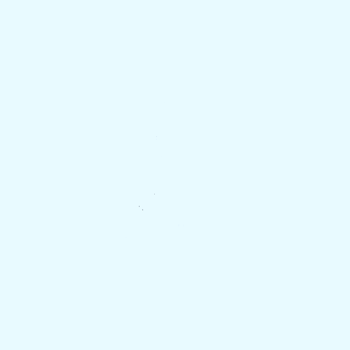 Cc1ccccc1OCC1SCCN1C(=O)CSC(=O)c1ccccc1